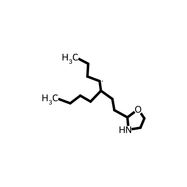 CCC[CH]C(CCCC)CCC1NCCO1